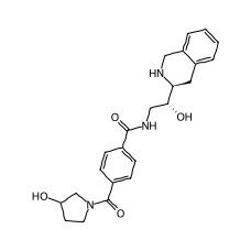 O=C(NC[C@@H](O)[C@@H]1Cc2ccccc2CN1)c1ccc(C(=O)N2CCC(O)C2)cc1